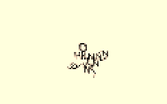 CCOCCn1nc(CC)c2nc(N3CCN(C)CC3)nc(Nc3ccccc3)c21